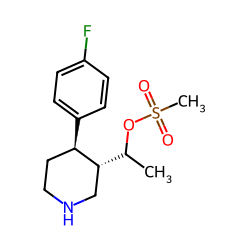 CC(OS(C)(=O)=O)[C@@H]1CNCC[C@H]1c1ccc(F)cc1